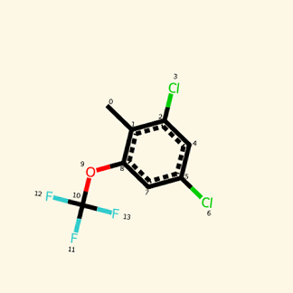 Cc1c(Cl)cc(Cl)cc1OC(F)(F)F